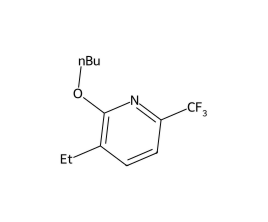 CCCCOc1nc(C(F)(F)F)ccc1CC